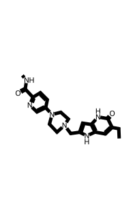 CCc1cc2[nH]c(CN3CCN(c4ccc(C(=O)NC)nc4)CC3)cc2[nH]c1=O